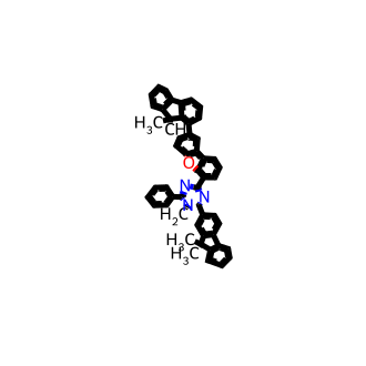 C=N/C(=N\C(=N/Cc1ccc2c(c1)C(C)(C)c1ccccc1-2)c1cccc2c1oc1ccc(-c3cccc4c3C(C)(C)c3ccccc3-4)cc12)c1ccccc1